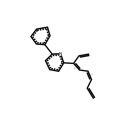 C=C/C=C\C=C(/C=C)c1cccc(-c2ccccc2)n1